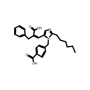 CCCCCCc1ncc(C=C(Cc2ccccc2)C(=O)O)n1Cc1ccc(C(=O)O)cc1